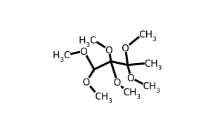 CO[C](OC)C(OC)(OC)C(C)(OC)OC